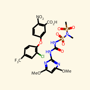 COc1cc(OC)nc(NC(=O)NS(=O)(=O)N(C)S(C)(=O)=O)n1.O=C(O)c1cc(Oc2ccc(C(F)(F)F)cc2Cl)ccc1[N+](=O)[O-]